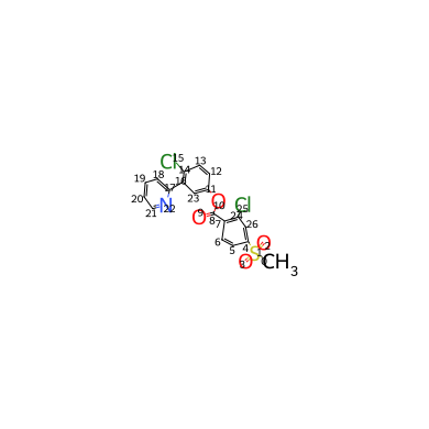 CS(=O)(=O)c1ccc(C(=O)Oc2ccc(Cl)c(-c3ccccn3)c2)c(Cl)c1